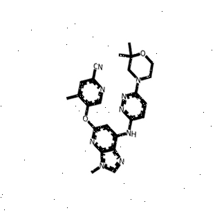 Cc1cc(C#N)ncc1Oc1cc(Nc2ccc(N3CCOC(C)(C)C3)nn2)c2ncn(C)c2n1